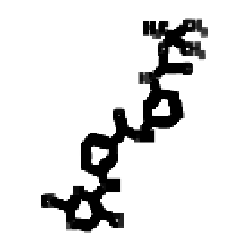 CC(C)(C)OC(=O)Nc1cccc(NC(=O)c2cccc(Nc3nc(Cl)ncc3Cl)c2)c1